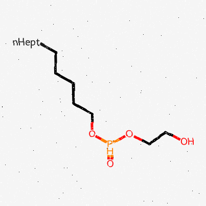 CCCCCCCCCCCCO[PH](=O)OCCO